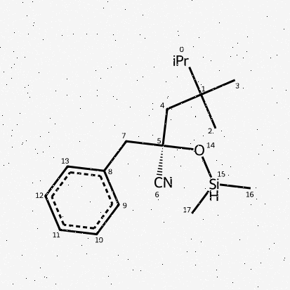 CC(C)C(C)(C)C[C@](C#N)(Cc1ccccc1)O[SiH](C)C